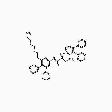 CCCCCCCCc1cc(N=C(C)C(CC)=Nc2ccc(-c3ccccc3)c(-c3ccccc3)c2)cc(-c2ccccc2)c1-c1ccccc1